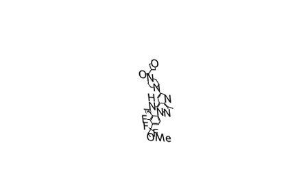 COCC(F)(F)c1cccc([C@@H](C)Nc2nnc(C)c3ncc(N4CCN(C(=O)C5COC5)CC4)cc23)c1F